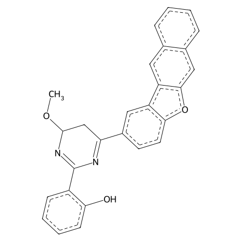 COC1CC(c2ccc3oc4cc5ccccc5cc4c3c2)=NC(c2ccccc2O)=N1